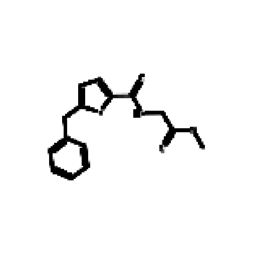 COC(=O)CNC(=O)c1ccc(Cc2ccccc2)s1